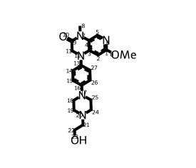 COc1cc2c(cn1)N(C)C(=O)CN2c1ccc(N2CCN(CCO)CC2)cc1